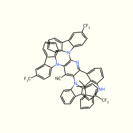 CC1(C)c2ccccc2Nc2cccc(-c3nc(-n4c5ccccc5c5cc(C(F)(F)F)ccc54)c(-n4c5ccccc5c5cc(C(F)(F)F)ccc54)c(C#N)c3-n3c4ccccc4c4cc(C(F)(F)F)ccc43)c21